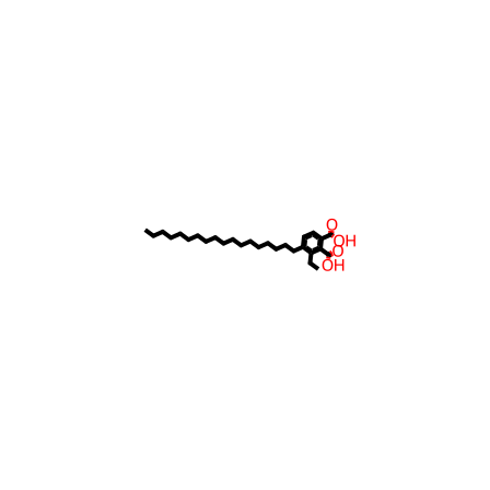 CCCCCCCCCCCCCCCCCCc1ccc(C(=O)O)c(C(=O)O)c1CC